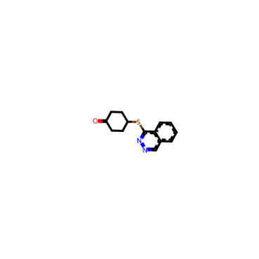 O=C1CCC(Sc2nncc3ccccc23)CC1